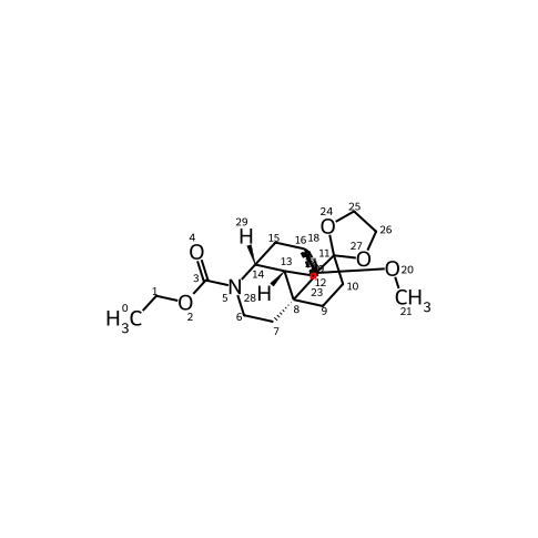 CCOC(=O)N1CC[C@]23CCC4(C[C@H]2[C@H]1Cc1ccc(OC)cc13)OCCO4